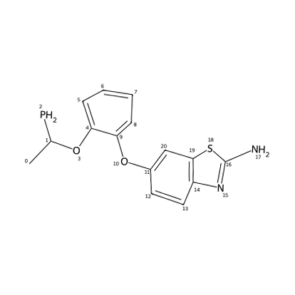 CC(P)Oc1ccccc1Oc1ccc2nc(N)sc2c1